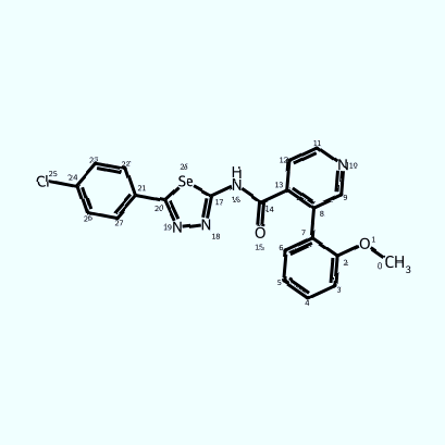 COc1ccccc1-c1cnccc1C(=O)Nc1nnc(-c2ccc(Cl)cc2)[se]1